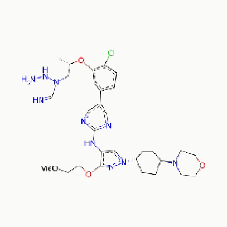 COCCOc1nn([C@H]2CC[C@H](N3CCOCC3)CC2)cc1Nc1ncc(-c2ccc(Cl)c(O[C@@H](C)CN(C=N)NN)c2)cn1